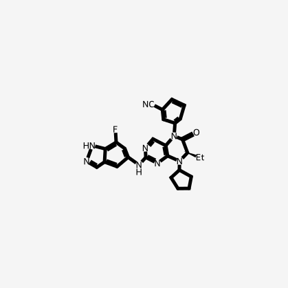 CC[C@@H]1C(=O)N(c2cccc(C#N)c2)c2cnc(Nc3cc(F)c4[nH]ncc4c3)nc2N1C1CCCC1